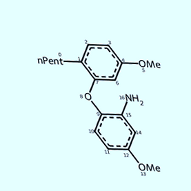 CCCCCc1ccc(OC)cc1Oc1ccc(OC)cc1N